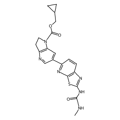 CNC(=O)Nc1nc2ccc(-c3cnc4c(c3)N(C(=O)OCC3CC3)CC4)nc2s1